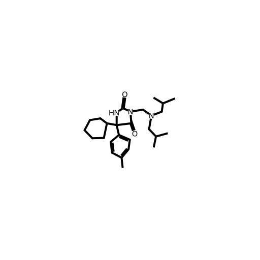 Cc1ccc(C2(C3CCCCC3)NC(=O)N(CN(CC(C)C)CC(C)C)C2=O)cc1